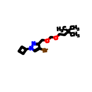 C[Si](C)(C)CCOCOCc1nn(C2CCC2)cc1Br